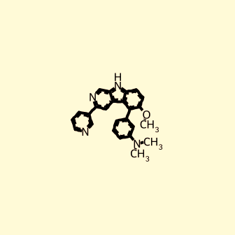 COc1ccc2[nH]c3cnc(-c4cccnc4)cc3c2c1-c1cccc(N(C)C)c1